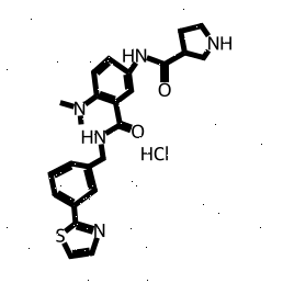 CN(C)c1ccc(NC(=O)C2CCNC2)cc1C(=O)NCc1cccc(-c2nccs2)c1.Cl